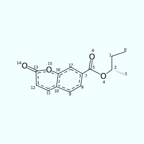 CC[C@H](C)OC(=O)c1ccc2ccc(=O)oc2c1